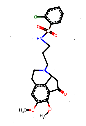 COc1cc2c3c(c1OC)C(=O)CC3N(CCCNS(=O)(=O)c1ccccc1Cl)CC2